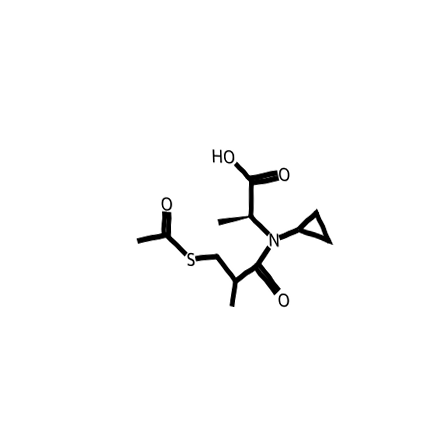 CC(=O)SCC(C)C(=O)N(C1CC1)[C@@H](C)C(=O)O